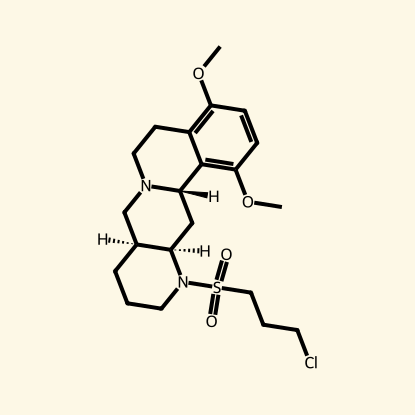 COc1ccc(OC)c2c1CCN1C[C@@H]3CCCN(S(=O)(=O)CCCCl)[C@@H]3C[C@@H]21